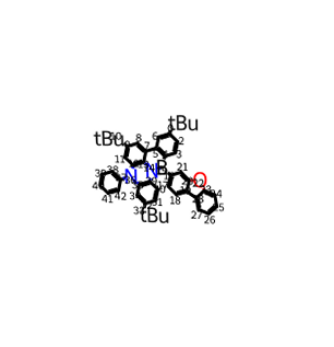 CC(C)(C)c1ccc2c(c1)-c1cc(C(C)(C)C)cc3c1N(B2c1ccc2c(c1)oc1ccccc12)c1ccc(C(C)(C)C)cc1N3c1ccccc1